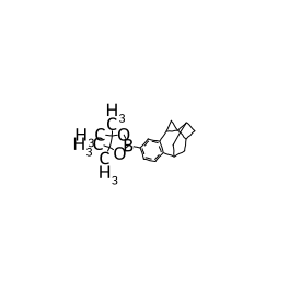 CC1(C)OB(c2ccc3c(c2)C2CC24C2CC3CC4C2)OC1(C)C